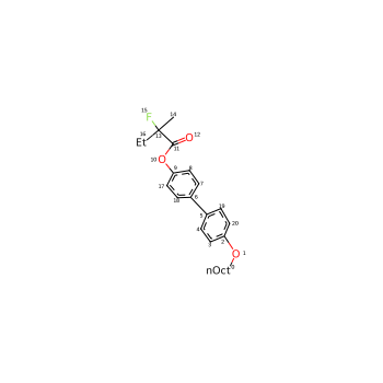 CCCCCCCCOc1ccc(-c2ccc(OC(=O)C(C)(F)CC)cc2)cc1